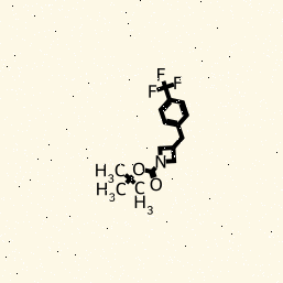 CC(C)(C)OC(=O)N1CC(Cc2ccc(C(F)(F)F)cc2)C1